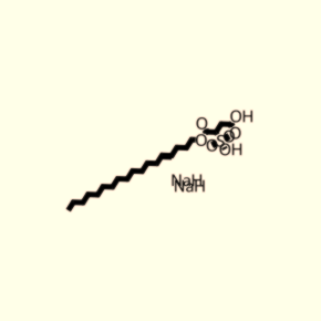 CCCCCCCCCCCCCC=CCCCOC(=O)C(CC(=O)O)S(=O)(=O)O.[NaH].[NaH]